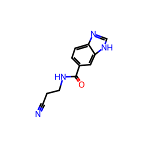 N#CCCNC(=O)c1ccc2nc[nH]c2c1